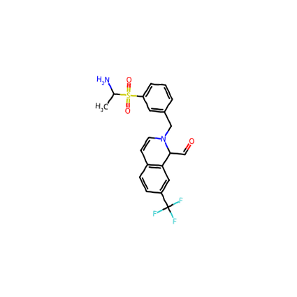 CC(N)S(=O)(=O)c1cccc(CN2C=Cc3ccc(C(F)(F)F)cc3C2C=O)c1